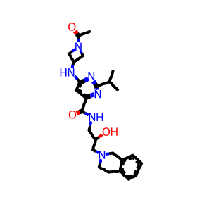 CC(=O)N1CC(Nc2cc(C(=O)NCC(O)CN3CCc4ccccc4C3)nc(C(C)C)n2)C1